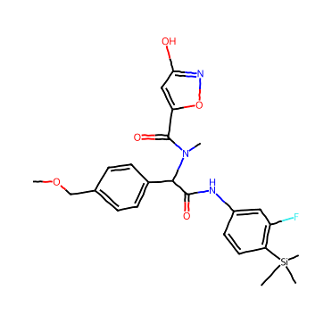 COCc1ccc(C(C(=O)Nc2ccc([Si](C)(C)C)c(F)c2)N(C)C(=O)c2cc(O)no2)cc1